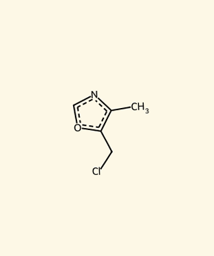 Cc1ncoc1CCl